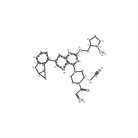 C=CC(=O)N1CCN(c2nc(OCC3CCCN3C)nc3cc(-c4cccc5c4C4CC4C5)cnc23)C[C@@H]1CC#N